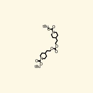 CC(C)(C)OC(=O)N1CCC(CCOC(=O)OCCC2CCN(C(=O)OC(C)(C)C)CC2)CC1